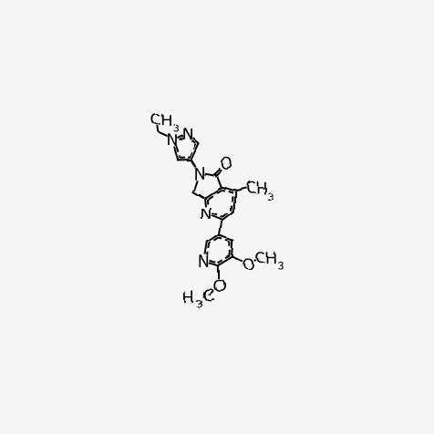 CCn1cc(N2Cc3nc(-c4cnc(OC)c(OC)c4)cc(C)c3C2=O)cn1